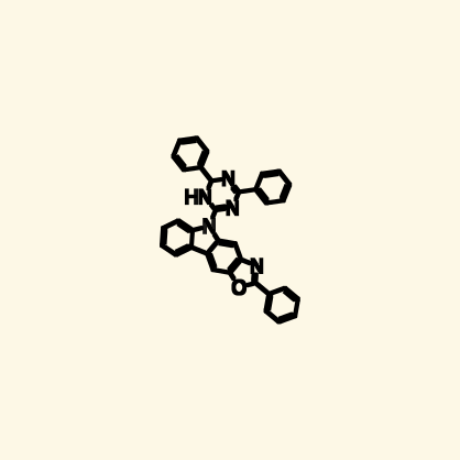 c1ccc(C2=NC(c3ccccc3)NC(n3c4ccccc4c4cc5oc(-c6ccccc6)nc5cc43)=N2)cc1